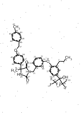 CCCc1cc(C(O)(C(F)(F)F)C(F)(F)F)ccc1Oc1cccc(CN2C(=O)NC(C)(c3ccc(OCc4ccc(C)cc4)cc3)C2=O)n1